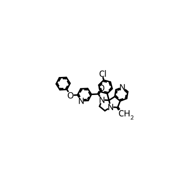 C=C1c2ccncc2C2(c3ccc(Cl)cc3)N1CCN2C(=O)c1ccc(Oc2ccccc2)nc1